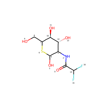 O=C(NC1C(O)SC(CO)[C@@H](O)[C@@H]1O)C(F)F